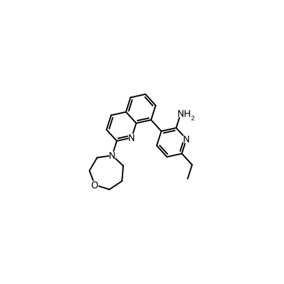 CCc1ccc(-c2cccc3ccc(N4CCCOCC4)nc23)c(N)n1